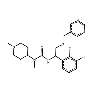 CN1CCC(N(C)C(=O)NC(COCc2cccnc2)c2cccc(Cl)c2Cl)CC1